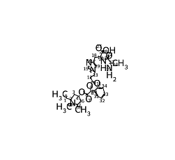 CCC1CC(OC(=O)C(OC(=O)CCn2cnc(CC(NC(=O)C(C)N)C(=O)O)c2)c2ccccc2)CC(C)N1C